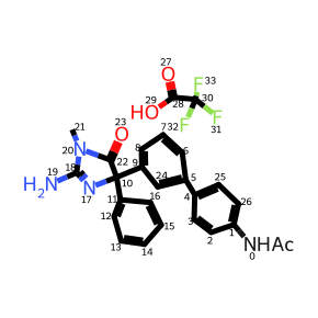 CC(=O)Nc1ccc(-c2cccc(C3(c4ccccc4)N=C(N)N(C)C3=O)c2)cc1.O=C(O)C(F)(F)F